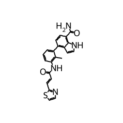 Cc1c(NC(=O)C=Cc2nccs2)cccc1-c1ccc(C(N)=O)c2[nH]ccc12